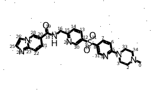 CN1CCN(c2ccc(S(=O)(=O)c3ccc(CNC(=O)c4ccc5nccn5c4)nc3)cn2)CC1